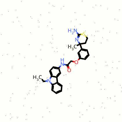 CCn1c2ccccc2c2cc(NC(=O)COc3cccc(C4(C)CCSC(N)=N4)c3)ccc21